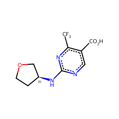 O=C(O)c1cnc(N[C@H]2CCOC2)nc1C(F)(F)F